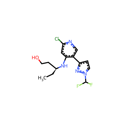 CC[C@@H](CCO)Nc1cc(Cl)ncc1-c1ccn(C(F)F)n1